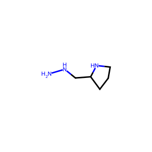 NNCC1CCCN1